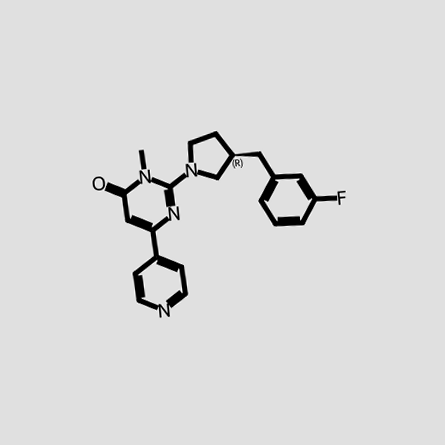 Cn1c(N2CC[C@@H](Cc3cccc(F)c3)C2)nc(-c2ccncc2)cc1=O